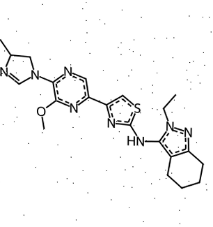 CCn1nc2c(c1Nc1nc(-c3cnc(N4C=NC(C)C4)c(OC)n3)cs1)CCCC2